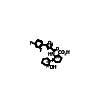 O=C(NC1[C@H](C(=O)O)CCCN1[C@@H]1CCCC[C@@H]1O)c1cc(-c2ccc(F)cc2F)on1